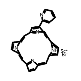 C1=Cc2cc3ccc(cc4nc(cc5ccc(cc1n2)[nH]5)C=C4c1ccccn1)[nH]3.[Br-].[Sc+]